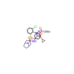 COC(=O)c1ccc(NC(=O)N2C3CCC2CC(OCc2c(-c4c(Cl)cccc4Cl)noc2C2CC2)C3)cn1